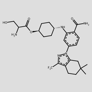 CC1(C)CCc2c(C(F)(F)F)nn(-c3ccc(C(N)=O)c(N[C@H]4CC[C@H](OC(=O)C(N)CO)CC4)c3)c2C1